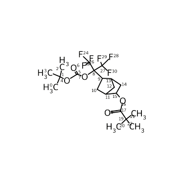 CC(C)(C)OC(=O)OC(C1CC2CC1CC2OC(=O)C(C)(C)C)(C(F)(F)F)C(F)(F)F